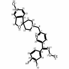 CCO/N=C(/c1ccc(CN2CCC3(CC2)OCc2c[n+]([O-])ccc23)nc1)c1ccc(F)c(F)c1